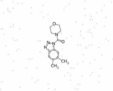 Cc1cc2nnn(C(=O)N3CCOCC3)c2cc1C